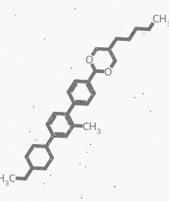 CCCCCC1COC(c2ccc(-c3ccc(C4CCC(CC)CC4)cc3C)cc2)OC1